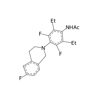 CCc1c(F)c(N2CCc3cc(F)ccc3C2)c(F)c(CC)c1NC(C)=O